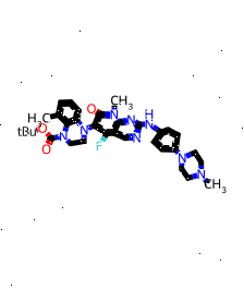 Cc1cccc2c1N(C(=O)OC(C)(C)C)CCN2c1c(F)c2cnc(Nc3ccc(N4CCN(C)CC4)cc3)nc2n(C)c1=O